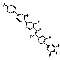 Cc1ccc(-c2ccc(-c3ccc(/C(F)=C(\F)c4ccc(-c5cc(F)c(F)c(F)c5)c(F)c4)c(F)c3)c(F)c2)cc1